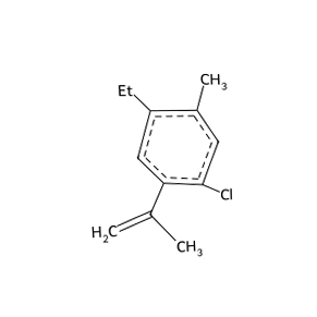 C=C(C)c1cc(CC)c(C)cc1Cl